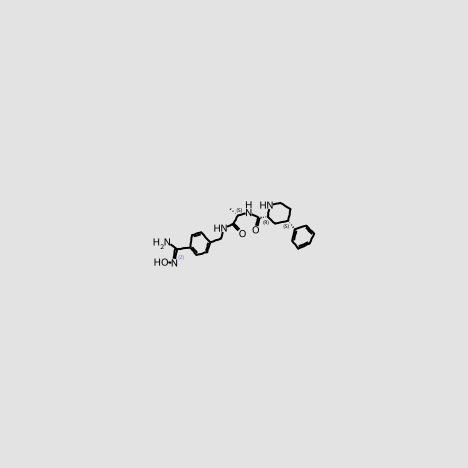 C[C@H](NC(=O)[C@H]1C[C@@H](c2ccccc2)CCN1)C(=O)NCc1ccc(/C(N)=N/O)cc1